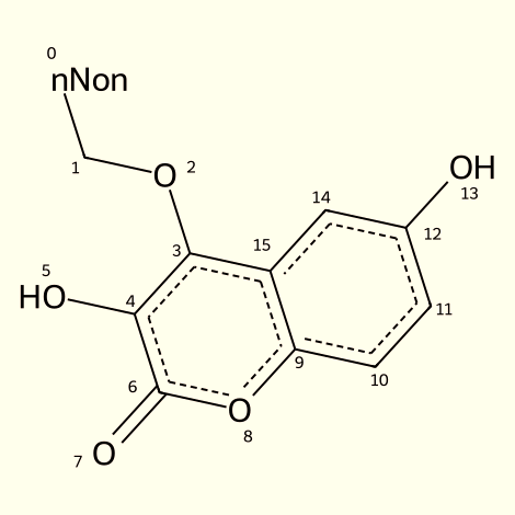 CCCCCCCCCCOc1c(O)c(=O)oc2ccc(O)cc12